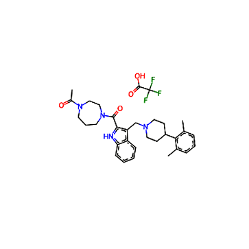 CC(=O)N1CCCN(C(=O)c2[nH]c3ccccc3c2CN2CCC(c3c(C)cccc3C)CC2)CC1.O=C(O)C(F)(F)F